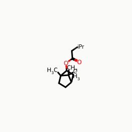 CC(C)CC(=O)OC1CC2CCC1(C)C2(C)C